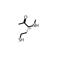 CN[C@H](CCS)C(C)=O